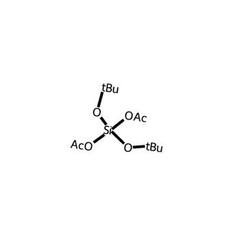 CC(=O)O[Si](OC(C)=O)(OC(C)(C)C)OC(C)(C)C